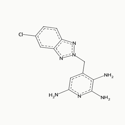 Nc1cc(Cn2nc3ccc(Cl)cc3n2)c(N)c(N)n1